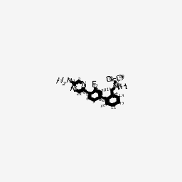 Nc1cnc(-c2ccc(-c3ccccc3CN[SH](=O)=O)cc2F)cn1